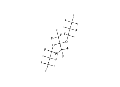 FC(F)(F)C(F)(F)C(F)(F)OC(OC(F)(F)C(F)(F)C(F)(F)F)(C(F)(F)F)C(F)(F)F